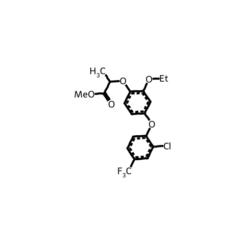 CCOc1cc(Oc2ccc(C(F)(F)F)cc2Cl)ccc1OC(C)C(=O)OC